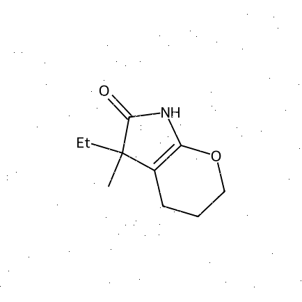 CCC1(C)C(=O)NC2=C1CCCO2